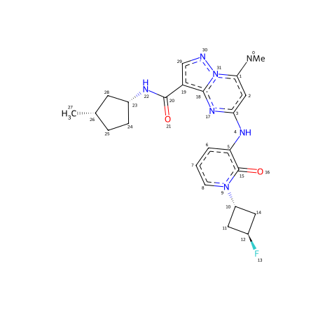 CNc1cc(Nc2cccn([C@H]3C[C@H](F)C3)c2=O)nc2c(C(=O)N[C@@H]3CC[C@H](C)C3)cnn12